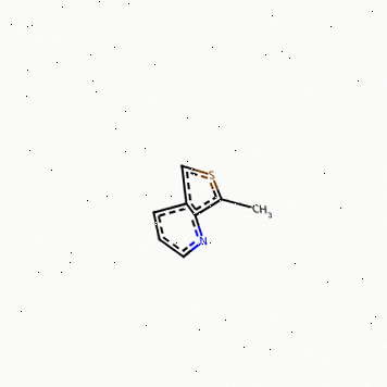 Cc1scc2cccnc12